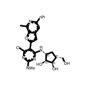 CCCc1cc2cc(-c3c(Cl)nc(NC)nc3N[C@@H]3C[C@H](CO)[C@@H](O)[C@H]3O)oc2c(C)n1